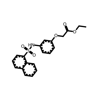 CCOC(=O)COc1cccc(NS(=O)(=O)c2cccc3ccccc23)c1